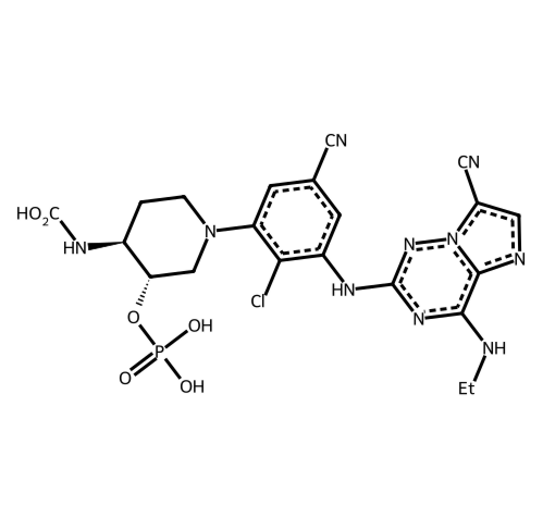 CCNc1nc(Nc2cc(C#N)cc(N3CC[C@H](NC(=O)O)[C@@H](OP(=O)(O)O)C3)c2Cl)nn2c(C#N)cnc12